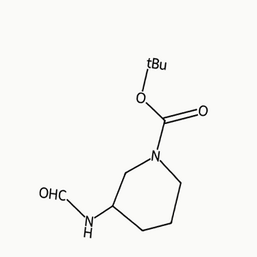 CC(C)(C)OC(=O)N1CCCC(NC=O)C1